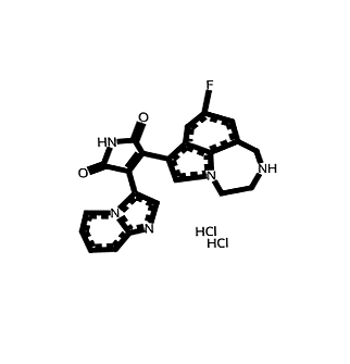 Cl.Cl.O=C1NC(=O)C(c2cnc3ccccn23)=C1c1cn2c3c(cc(F)cc13)CNCC2